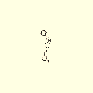 CN(C)[C@]1(CCc2ccccc2)CC[C@@H](OCc2cccc(F)c2)CC1